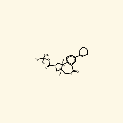 CC(C)(C)OC(=O)N1C[C@H]2CNC(=O)c3cc(C4=CCOCC4)ccc3[C@@H]2C1